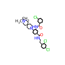 C[N+]1(C)CCC2(CCN(c3ccc(C(=O)NCCc4ccc(Cl)cc4Cl)cc3NC(=O)c3cccc(Cl)c3)CC2)CC1